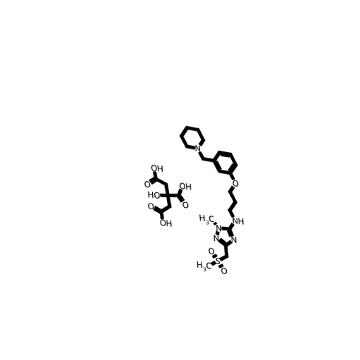 Cn1nc(CS(C)(=O)=O)nc1NCCCOc1cccc(CN2CCCCC2)c1.O=C(O)CC(O)(CC(=O)O)C(=O)O